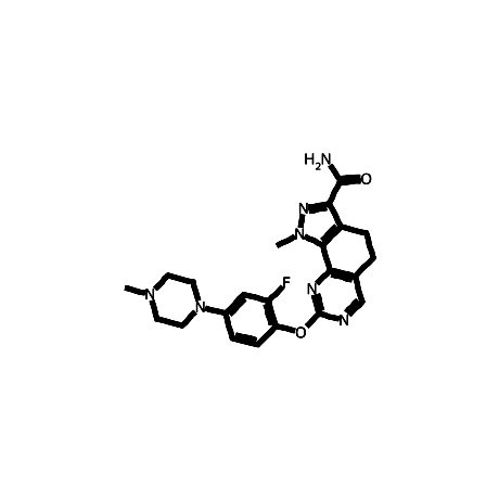 CN1CCN(c2ccc(Oc3ncc4c(n3)-c3c(c(C(N)=O)nn3C)CC4)c(F)c2)CC1